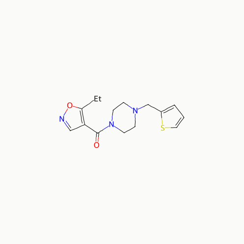 CCc1oncc1C(=O)N1CCN(Cc2cccs2)CC1